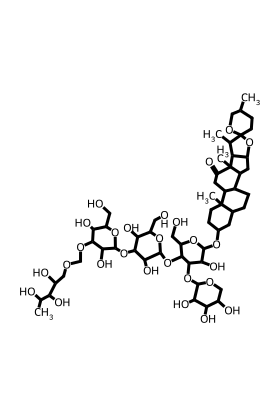 CC1CCC2(OC1)OC1CC3C4CCC5CC(OC6OC(CO)C(OC7OC(CO)C(O)C(OC8OC(CO)C(O)C(OCOCC(O)C(O)C(C)O)C8O)C7O)C(OC7OCC(O)C(O)C7O)C6O)CCC5(C)C4CC(=O)C3(C)C1C2C